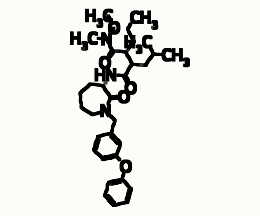 CCC[C@H](C(=O)N(C)OC)C(CC(C)C)C(=O)N[C@H]1CCCCN(Cc2cccc(Oc3ccccc3)c2)C1=O